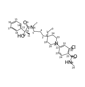 CCC1(CCCN(C)C(=O)[C@](C)(O)c2ccccc2)CCN(c2ccc(C(=O)NC)c(Cl)c2)CC1